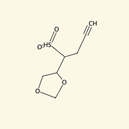 C#CCC(C1COCO1)[SH](=O)=O